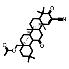 CC(=O)OC[C@]12CCC(C)(C)CC1C1C(=O)CC3[C@@]4(C)C=C(C#N)C(=O)C(C)(C)C4CC[C@@]3(C)[C@]1(C)CC2